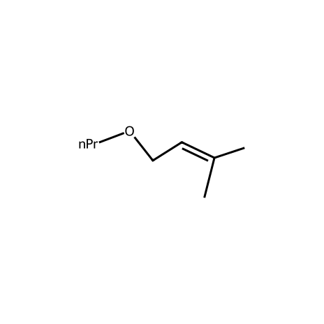 [CH2]CCOCC=C(C)C